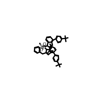 Cc1ccc(-c2ccc(C(C)(C)C)cc2)c2c1[CH]([Zr]([Cl])([Cl])([CH]1C(C(C)C)=Cc3c(-c4ccc(C(C)(C)C)cc4)cccc31)[SiH](C)C)C(Cc1ccccc1)=C2